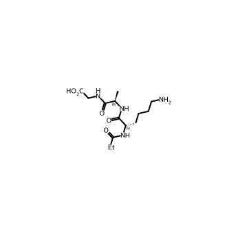 CCC(=O)N[C@@H](CCCCN)C(=O)N[C@H](C)C(=O)NCC(=O)O